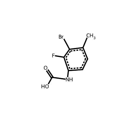 Cc1ccc(NC(=O)O)c(F)c1Br